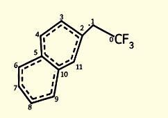 FC(F)(F)[CH]c1ccc2ccccc2c1